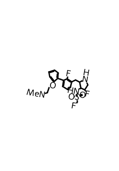 CNCCOc1ccccc1-c1cccc(CC2NCC(F)C2NS(=O)(=O)CF)c1F